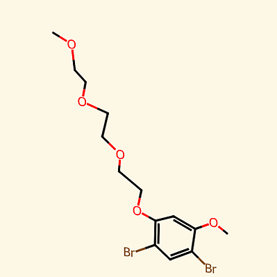 COCCOCCOCCOc1cc(OC)c(Br)cc1Br